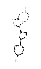 Brc1ccc(-c2nc(-c3nnc4n3CCNC4)cs2)cc1